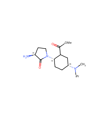 COC(=O)C1C[C@H](N(C)C(C)C)CC[C@@H]1N1CC[C@H](N)C1=O